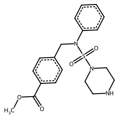 COC(=O)c1ccc(CN(c2ccccc2)S(=O)(=O)N2CCNCC2)cc1